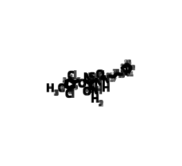 Cc1cc(Cl)c(COc2nsc(NC(=O)NCCCCN3CCCC3)c2C(N)=O)cc1Cl